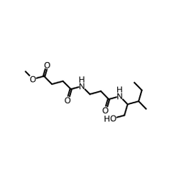 CCC(C)C(CO)NC(=O)CCNC(=O)CCC(=O)OC